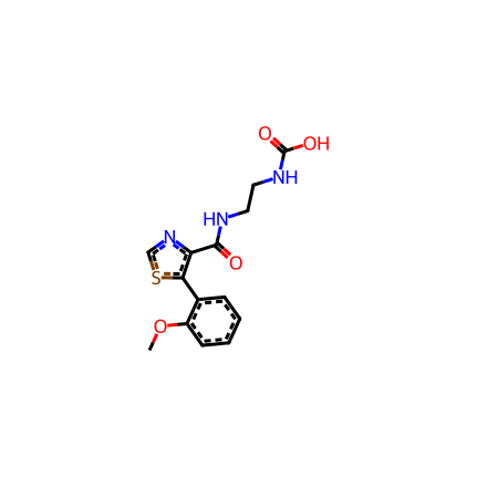 COc1ccccc1-c1scnc1C(=O)NCCNC(=O)O